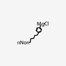 CCCCCCCCCCCCCCc1ccc([CH2][Mg][Cl])cc1